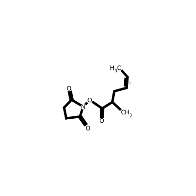 C/C=C\CC(C)C(=O)ON1C(=O)CCC1=O